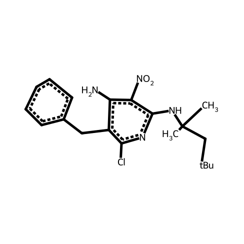 CC(C)(C)CC(C)(C)Nc1nc(Cl)c(Cc2ccccc2)c(N)c1[N+](=O)[O-]